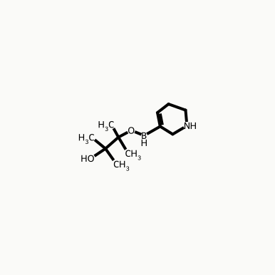 CC(C)(O)C(C)(C)OBC1=CCCNC1